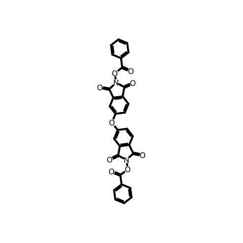 O=C(ON1C(=O)c2ccc(Oc3ccc4c(c3)C(=O)N(OC(=O)c3ccccc3)C4=O)cc2C1=O)c1ccccc1